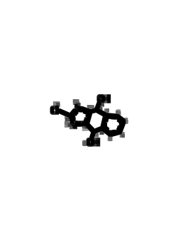 OC1c2ccccc2C(O)c2sc(Cl)nc21